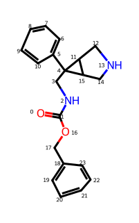 O=C(NCC1(c2ccccc2)C2CNCC21)OCc1ccccc1